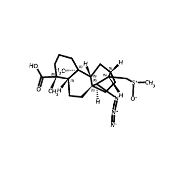 C[S+]([O-])C[C@H]1[C@H]2CC[C@@]3(CC[C@H]4[C@@](C)(CCC[C@@]4(C)C(=O)O)[C@@H]3C2)[C@@H]1N=[N+]=[N-]